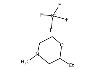 CCC1CN(C)CCO1.F[B-](F)(F)F